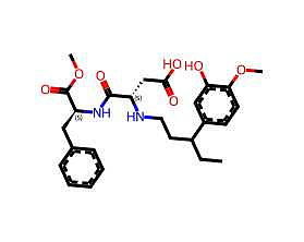 CCC(CCN[C@@H](CC(=O)O)C(=O)N[C@@H](Cc1ccccc1)C(=O)OC)c1ccc(OC)c(O)c1